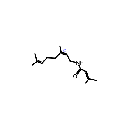 CC(C)=CCC/C(C)=C\CNC(=O)C=C(C)C